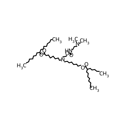 CCCCCCCCC(CCCCCCCC)OC(=O)CCCCCCCN(CCCCCCCCOC(=O)C(CCCCCC)CCCCCCCC)CCOC(=O)NCCCN(CC)CC